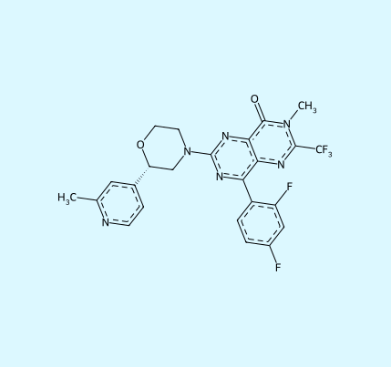 Cc1cc([C@H]2CN(c3nc(-c4ccc(F)cc4F)c4nc(C(F)(F)F)n(C)c(=O)c4n3)CCO2)ccn1